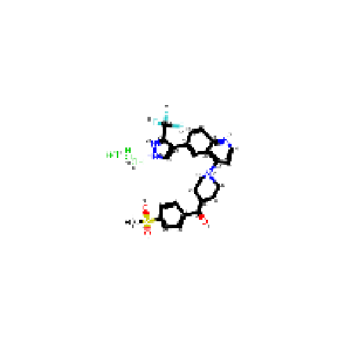 CS(=O)(=O)c1ccc(C(=O)C2CCN(c3ccnc4ccc(-c5c[nH]nc5C(F)(F)F)cc34)CC2)cc1.Cl.Cl.Cl